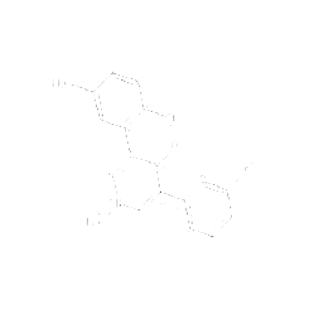 Cc1ccc(C)c(-c2cn(C)cc(-c3cccc(F)c3)c2=O)c1